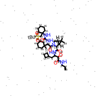 C=CCNC(=O)C(=O)C(CC1CCC1)NC(=O)[C@@H]1[C@@H]2[C@H](CN1C(=O)[C@@H](NC(=O)NC1(CS(=O)(=O)C(C)(C)C)CCCCC1)C1(C)CCCCC1)C2(C)C